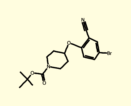 CC(C)(C)OC(=O)N1CCC(Oc2ccc(Br)cc2C#N)CC1